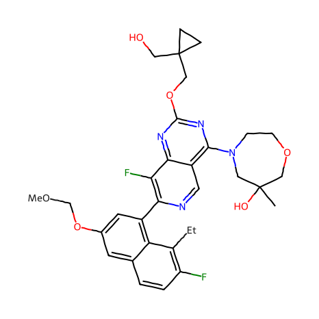 CCc1c(F)ccc2cc(OCOC)cc(-c3ncc4c(N5CCOCC(C)(O)C5)nc(OCC5(CO)CC5)nc4c3F)c12